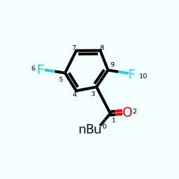 CCCCC(=O)c1cc(F)ccc1F